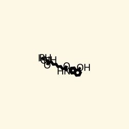 O=C(CCCCCCC(=O)Nc1ccc2c(c1)CCCC2O)NOPI